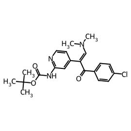 CN(C)C=C(C(=O)c1ccc(Cl)cc1)c1ccnc(NC(=O)OC(C)(C)C)c1